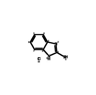 Sc1nc2ccccc2[nH]1.[C]